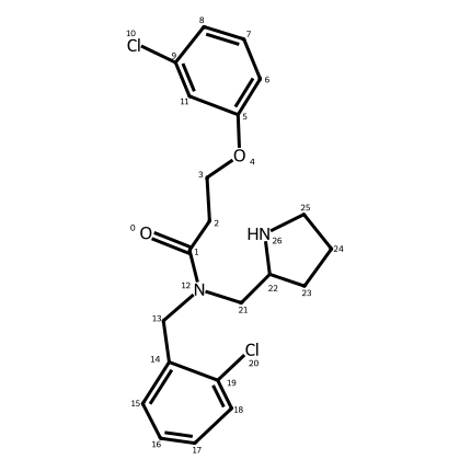 O=C(CCOc1cccc(Cl)c1)N(Cc1ccccc1Cl)CC1CCCN1